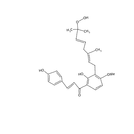 COc1ccc(C(=O)/C=C/c2ccc(O)cc2)c(O)c1C/C=C(\C)C/C=C/C(C)(C)OO